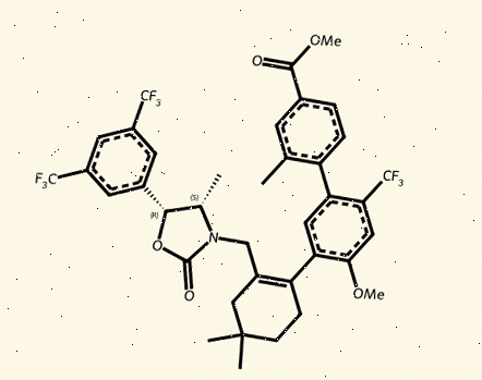 COC(=O)c1ccc(-c2cc(C3=C(CN4C(=O)O[C@H](c5cc(C(F)(F)F)cc(C(F)(F)F)c5)[C@@H]4C)CC(C)(C)CC3)c(OC)cc2C(F)(F)F)c(C)c1